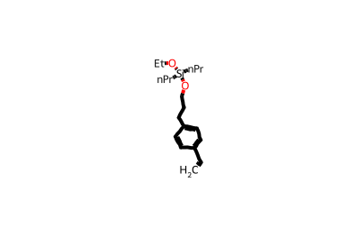 C=Cc1ccc(CCCO[Si](CCC)(CCC)OCC)cc1